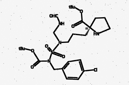 CC(C)(C)OC(=O)N(Cc1ccc(Cl)cc1)S(=O)(=O)N(CCC[C@]1(C(=O)OC(C)(C)C)CCCN1)CNC=O